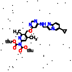 Cc1cc(N(C(=O)OC(C)(C)C)C(=O)OC(C)(C)C)nc(C)c1COc1cc(NCc2cn3cc(C4CC4)ccc3n2)ncn1